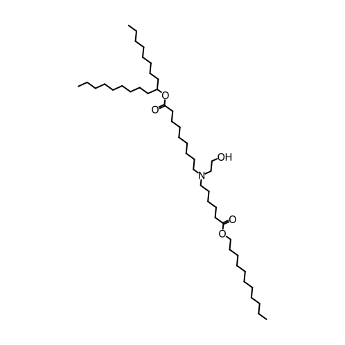 CCCCCCCCCCCOC(=O)CCCCCN(CCO)CCCCCCCCC(=O)OC(CCCCCCCC)CCCCCCCCC